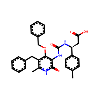 Cc1ccc([C@H](CC(=O)O)NC(=O)Nc2c(OCc3ccccc3)c(Cc3ccccc3)c(C)[nH]c2=O)cc1